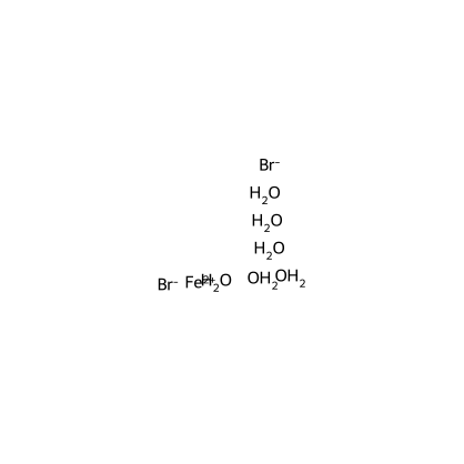 O.O.O.O.O.O.[Br-].[Br-].[Fe+2]